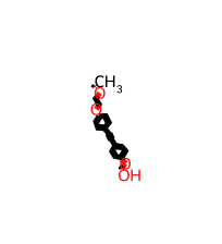 CCOCCOc1ccc(C#Cc2ccc(OCO)cc2)cc1